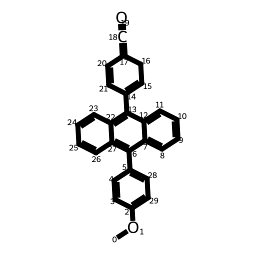 COc1ccc(-c2c3ccccc3c(C3=CCC(=C=O)C=C3)c3ccccc23)cc1